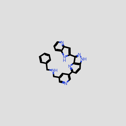 c1ccc(CNCc2cncc(-c3ccc4[nH]nc(-c5cc6ncccc6[nH]5)c4n3)c2)cc1